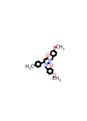 COC1=CC=C(Cn2c(=O)cc(-c3ccc(C)cc3)n(Cc3ccc(OC)cc3)c2=O)CC1